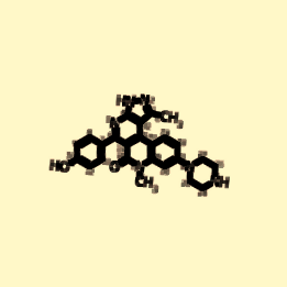 Cc1n[nH]c2nc(-c3ccc(O)cc3)c3c(=O)n(C)c4cc(N5CCNCC5)ccc4c3c12